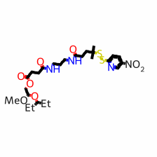 CCC(CC)OC(COC(=O)CCC(=O)NCCCNC(=O)CCC(C)(C)SSc1ccc([N+](=O)[O-])cn1)OC